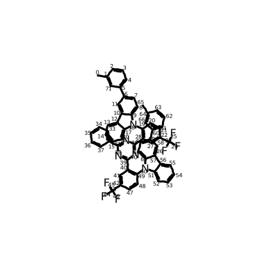 Cc1cccc(-c2ccc3c(c2)c2ccccc2n3-c2ccc(C(F)(F)F)cc2-c2nc(-c3ccccc3)nc(-c3cc(C(F)(F)F)ccc3-n3c4ccccc4c4cc(-c5cccc(C)c5)ccc43)n2)c1